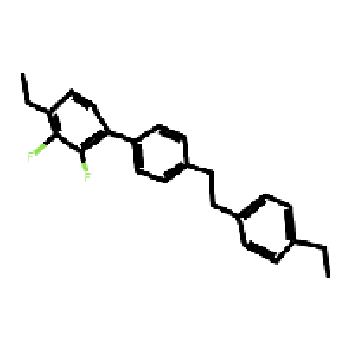 CCc1ccc(CCc2ccc(-c3ccc(CC)c(F)c3F)cc2)cc1